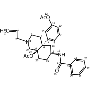 C=CCN1CC[C@@]2(c3cccc(OC(C)=O)c3)C[C@@H](NC(=O)c3ccccc3)CC[C@]2(OC(C)=O)C1